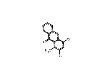 Cc1c(Cl)cc(Cl)c2sc3ccccc3c(=O)c12